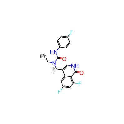 CC(C)CN(C(=O)Nc1ccc(F)cc1)[C@@H](C)c1c[nH]c(=O)c2c(F)cc(F)cc12